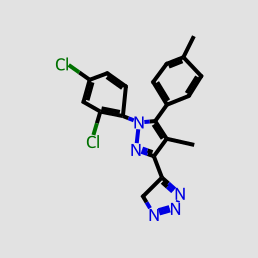 Cc1ccc(-c2c(C)c(C3=NN=NC3)nn2-c2ccc(Cl)cc2Cl)cc1